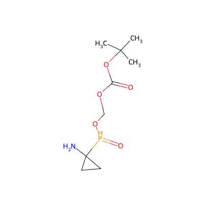 CC(C)(C)OC(=O)OCO[PH](=O)C1(N)CC1